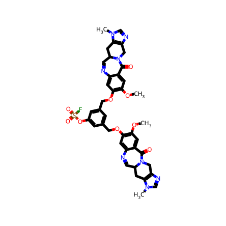 COc1cc2c(cc1OCc1cc(COc3cc4c(cc3OC)C(=O)N3Cc5ncn(C)c5CC3C=N4)cc(OS(=O)(=O)F)c1)N=CC1Cc3c(ncn3C)CN1C2=O